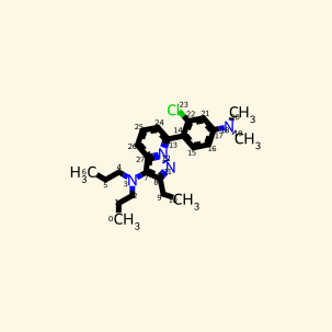 CCCN(CCC)c1c(CC)nn2c(-c3ccc(N(C)C)cc3Cl)cccc12